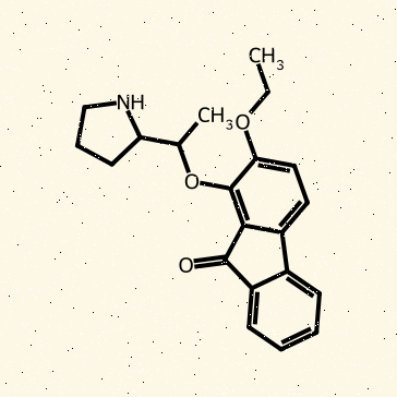 CCOc1ccc2c(c1OC(C)C1CCCN1)C(=O)c1ccccc1-2